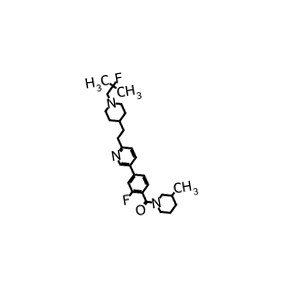 CC1CCCN(C(=O)c2ccc(-c3ccc(CCC4CCN(CC(C)(C)F)CC4)nc3)cc2F)C1